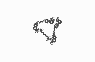 O=C(CCCCCCC(=O)OCN1C(=O)CCc2ccc(OCCCCN3CCN(c4cccc5sccc45)CC3)cc21)OCN1C(=O)CCc2ccc(OCCCCN3CCN(c4cccc5sccc45)CC3)cc21